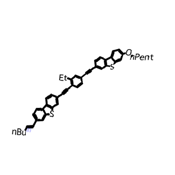 CCCC/C=C/c1ccc2c(c1)sc1cc(C#Cc3ccc(C#Cc4ccc5c(c4)sc4cc(OCCCCC)ccc45)cc3CC)ccc12